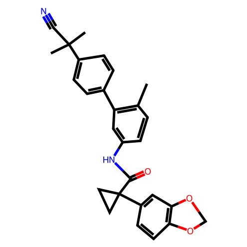 Cc1ccc(NC(=O)C2(c3ccc4c(c3)OCO4)CC2)cc1-c1ccc(C(C)(C)C#N)cc1